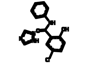 O=C(Nc1ccccc1)c1cc(Cl)ccc1O.c1nc[nH]n1